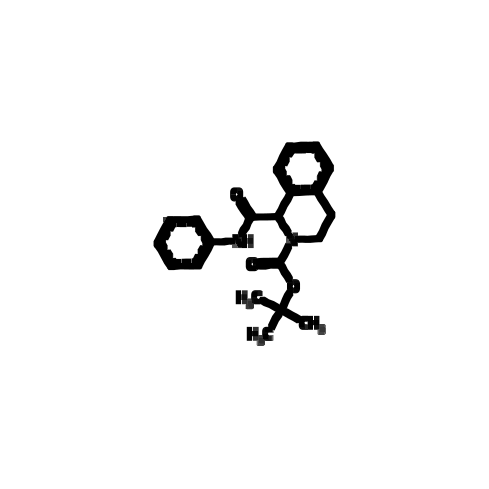 CC(C)(C)OC(=O)N1CCc2ccccc2C1C(=O)Nc1c[c]ccc1